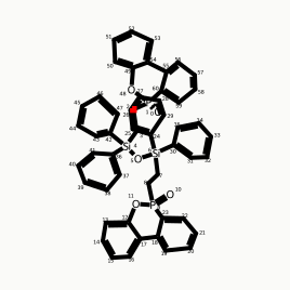 O=P1(CC[Si](O[Si](CCP2(=O)Oc3ccccc3-c3ccccc32)(c2ccccc2)c2ccccc2)(c2ccccc2)c2ccccc2)Oc2ccccc2-c2ccccc21